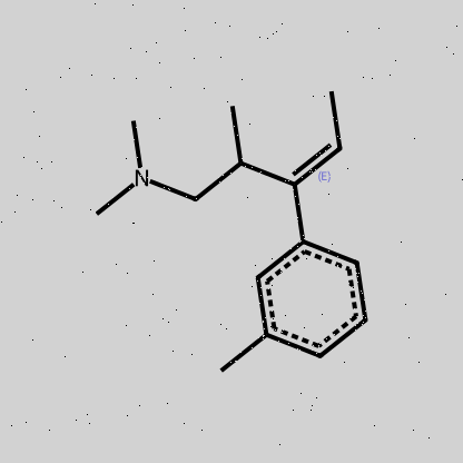 C/C=C(/c1cccc(C)c1)C(C)CN(C)C